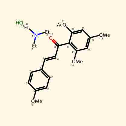 CCN(CC)CC.COc1ccc(C=CC(=O)c2c(OC)cc(OC)cc2OC(C)=O)cc1.Cl